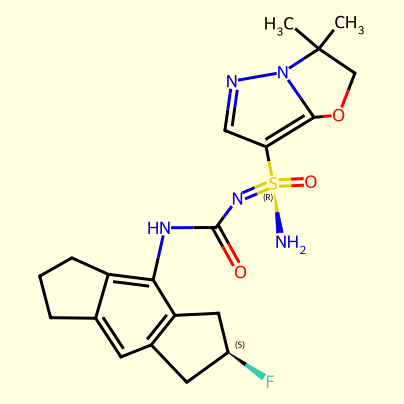 CC1(C)COc2c([S@](N)(=O)=NC(=O)Nc3c4c(cc5c3C[C@@H](F)C5)CCC4)cnn21